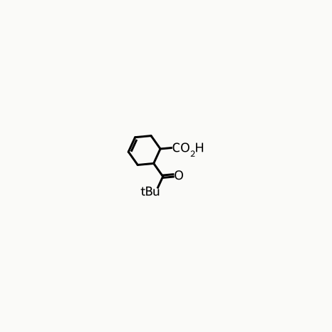 CC(C)(C)C(=O)C1CC=CCC1C(=O)O